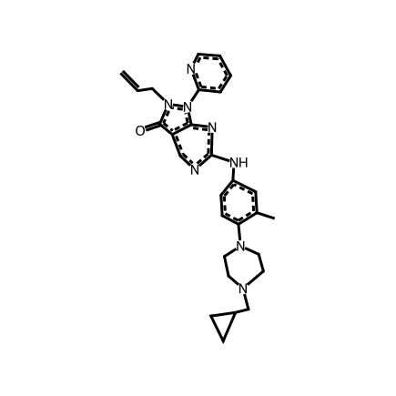 C=CCn1c(=O)c2cnc(Nc3ccc(N4CCN(CC5CC5)CC4)c(C)c3)nc2n1-c1ccccn1